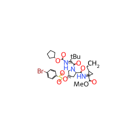 C=CC1C[C@]1(NC(=O)C1C[C@H](OS(=O)(=O)c2ccc(Br)cc2)CN1C(=O)[C@@H](NC(=O)OC1CCCC1)C(C)(C)C)C(=O)OC